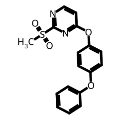 CS(=O)(=O)c1nccc(Oc2ccc(Oc3ccccc3)cc2)n1